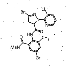 CNC(=O)c1cc(Br)cc(C)c1NC(=O)C1CC(Br)=NN1c1ncccc1Cl